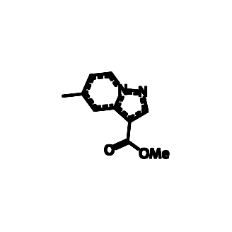 COC(=O)c1cnn2ccc(C)cc12